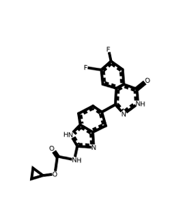 O=C(Nc1nc2cc(-c3n[nH]c(=O)c4cc(F)c(F)cc34)ccc2[nH]1)OC1CC1